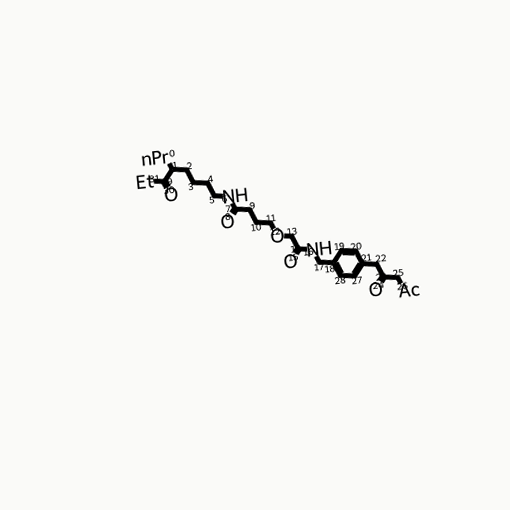 CCCC(CCCCNC(=O)CCCOCC(=O)NCc1ccc(CC(=O)CC(C)=O)cc1)C(=O)CC